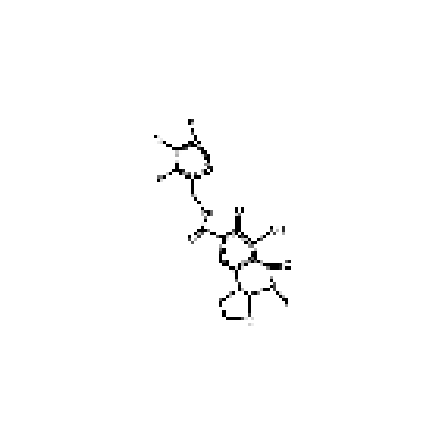 O=C(NCc1ccc(F)c(Cl)c1F)c1cn2c(c(O)c1=O)C(=O)N(I)C1OCCC12